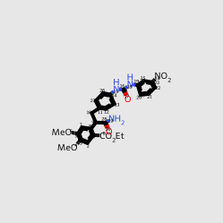 CCOC(=O)c1cc(OC)c(OC)cc1C(Cc1ccc(NC(=O)Nc2cccc([N+](=O)[O-])c2)cc1)C(N)=O